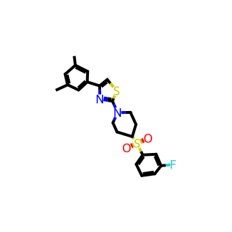 Cc1cc(C)cc(-c2csc(N3CCC(S(=O)(=O)c4cccc(F)c4)CC3)n2)c1